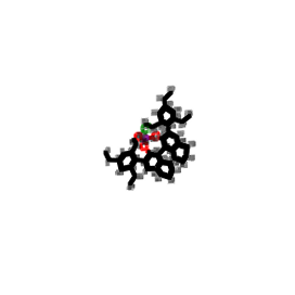 CCc1cc(CC)c(-c2cc3ccccc3c3c2OP(=O)(Cl)Oc2c(-c4c(CC)cc(CC)cc4CC)cc4ccccc4c2-3)c(CC)c1